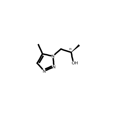 Cc1cnnn1C[C@@H](C)O